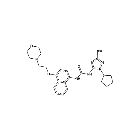 CC(C)(C)c1cc(NC(=O)Nc2ccc(OCCN3CCOCC3)c3ccccc23)n(C2CCCC2)n1